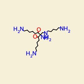 NCCCCCNCC(N)(C(=O)CCCCCN)C(=O)CCCCCN